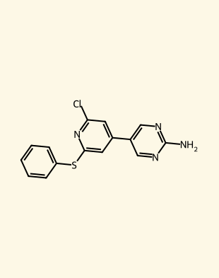 Nc1ncc(-c2cc(Cl)nc(Sc3ccccc3)c2)cn1